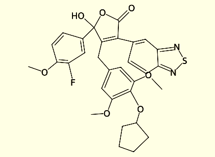 COc1ccc(C2(O)OC(=O)C(c3ccc4nsnc4c3)=C2Cc2cc(OC)c(OC3CCCC3)c(OC)c2)cc1F